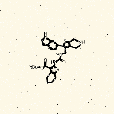 CC(C)(C)OC(=O)c1c(NC(=O)NCc2c(-c3ccc4cc[nH]c4c3)sc3c2CCNC3)sc2c1CCCC2